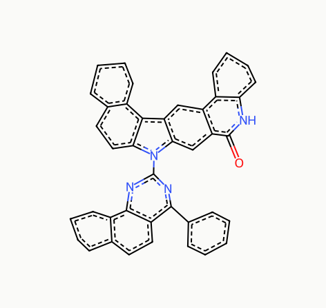 O=c1[nH]c2ccccc2c2cc3c4c5ccccc5ccc4n(-c4nc(-c5ccccc5)c5ccc6ccccc6c5n4)c3cc12